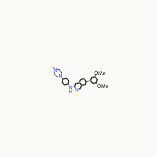 COc1cc(OC)cc(-c2ccc3cc(Nc4ccc(N5CCN(C)CC5)cc4)ncc3c2)c1